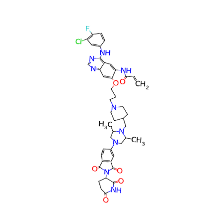 C=CC(=O)Nc1cc2c(Nc3ccc(F)c(Cl)c3)ncnc2cc1OCCCN1CCC(CN2C(C)CN(c3ccc4c(c3)C(=O)N(C3CCC(=O)NC3=O)C4=O)CC2C)CC1